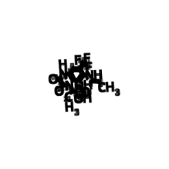 CCCNc1cc2c(cc1C(F)(F)F)[nH]c(=O)c(=O)n2C(C)P(=O)(O)O